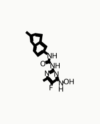 Cc1ccc2cc(NC(=O)Nc3nc(C)c(F)c(NO)n3)ccc2c1